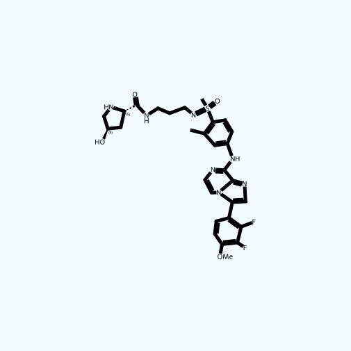 COc1ccc(-c2cnc3c(Nc4ccc(S(C)(=O)=NCCCNC(=O)[C@@H]5C[C@@H](O)CN5)c(C)c4)nccn23)c(F)c1F